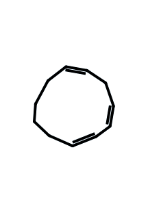 C1=C\C/C=C\CCCC\C=C/1